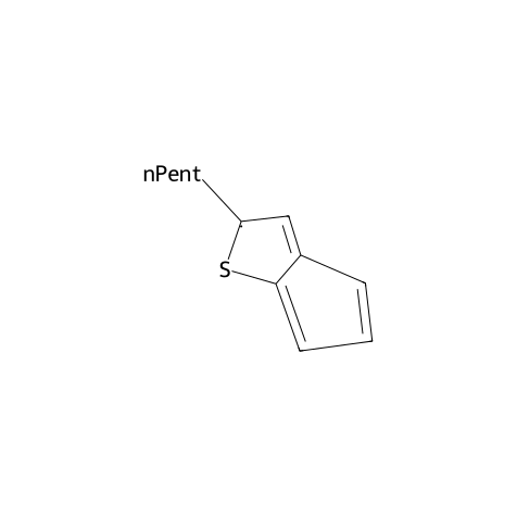 CCCCC[C]1C=C2C=CC=C2S1